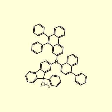 CC1(c2ccccc2)c2ccccc2-c2ccc(N(c3ccc4c(c3)c(-c3ccccc3)c(-c3ccccc3)c3ccccc34)c3ccc(-c4ccccc4)c4ccccc34)cc21